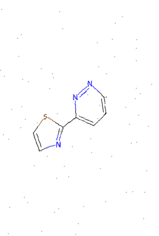 [c]1ccc(-c2nccs2)nn1